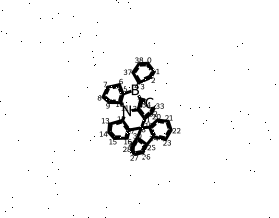 c1ccc(B2c3ccccc3N3c4ccccc4C4(c5ccccc5-c5ccccc54)c4cccc2c43)cc1